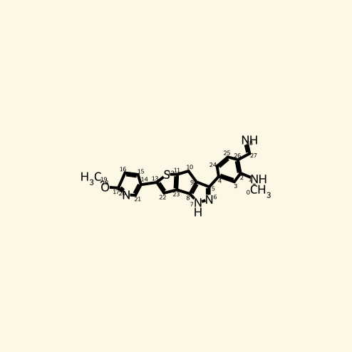 CNc1cc(-c2n[nH]c3c2Cc2sc(-c4ccc(OC)nc4)cc2-3)ccc1C=N